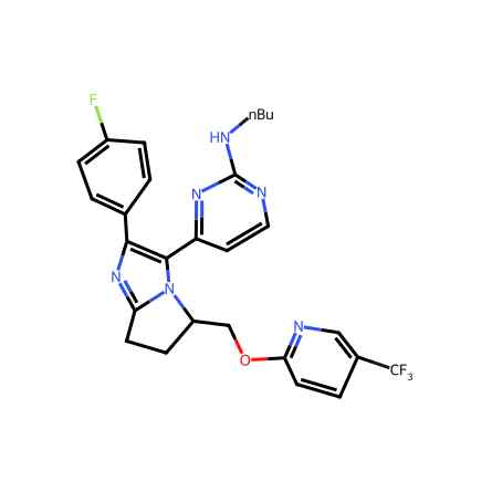 CCCCNc1nccc(-c2c(-c3ccc(F)cc3)nc3n2C(COc2ccc(C(F)(F)F)cn2)CC3)n1